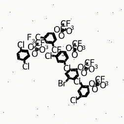 O=S(=O)(Oc1cc(C(F)(F)F)cc(C(F)(F)F)c1)C(F)(F)F.O=S(=O)(Oc1cc(Cl)cc(Cl)c1)C(F)(F)F.O=S(=O)(Oc1cc(Cl)ccc1Cl)C(F)(F)F.O=S(=O)(Oc1ccc(Br)cc1)C(F)(F)F.O=S(=O)(Oc1ccc(Cl)cc1Cl)C(F)(F)F